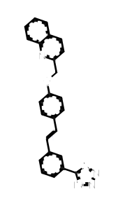 C(=C\c1cccc(-c2nnn[nH]2)c1)/c1ccc(OCc2ccc3ccccc3n2)cc1